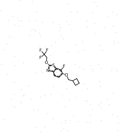 Fc1c(OCC2CCC2)ccc2nc(OCC(F)(F)F)sc12